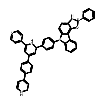 C1=CC(c2ccc(C3=CC(c4ccc(-n5c6ccccc6c6c7c(ccc65)N[C@@H](c5ccccc5)O7)cc4)NC(c4ccncc4)=C3)cc2)=CCN1